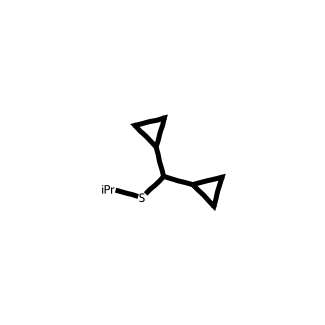 CC(C)SC(C1CC1)C1CC1